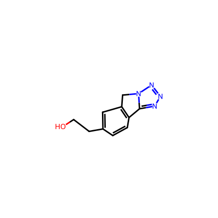 OCCc1ccc2c(c1)Cn1nnnc1-2